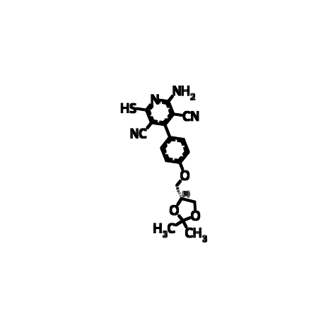 CC1(C)OC[C@@H](COc2ccc(-c3c(C#N)c(N)nc(S)c3C#N)cc2)O1